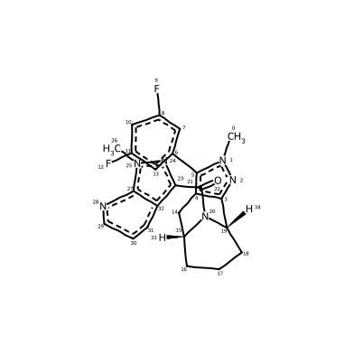 Cn1nc2c(c1-c1cc(F)cc(F)c1)C[C@H]1CCC[C@@H]2N1C(=O)c1nn(C)c2ncccc12